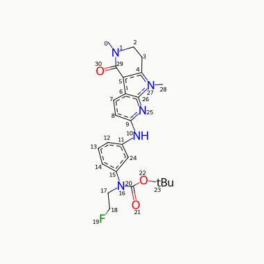 CN1CCc2c(c3ccc(Nc4cccc(N(CCF)C(=O)OC(C)(C)C)c4)nc3n2C)C1=O